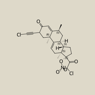 C[C@H]1C[C@@H]2C(=CC[C@@]3(C)[C@H]2CC[C@@]3(O[N+](=O)[O-])C(=O)CCl)[C@@]2(C)CC(C#CCl)C(=O)C=C12